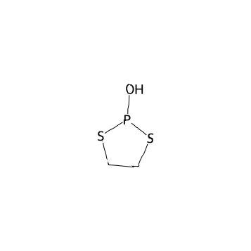 OP1SCCS1